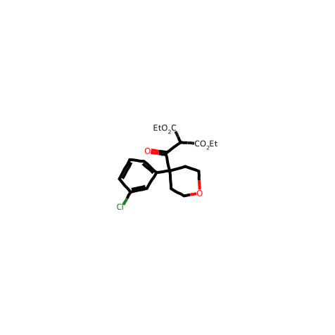 CCOC(=O)C(C(=O)OCC)C(=O)C1(c2cccc(Cl)c2)CCOCC1